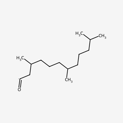 CC(C)CCCC(C)CCCC(C)C[C]=O